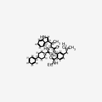 CCNC(=O)c1ccc(CN(C)C)cc1NC(=O)[C@H](NC(=O)N1CCC(c2ccccc2)CC1)[C@H](C)c1c[nH]c2ccccc12